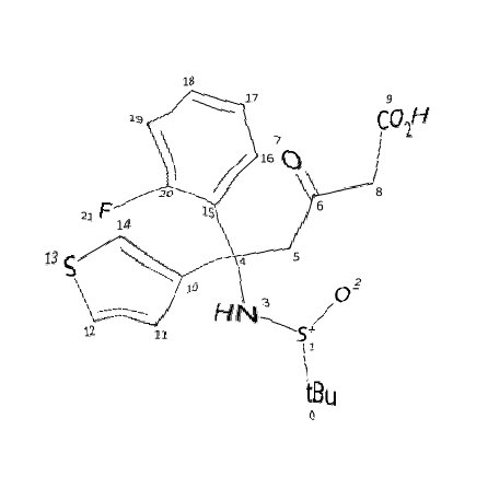 CC(C)(C)[S+]([O-])NC(CC(=O)CC(=O)O)(c1ccsc1)c1ccccc1F